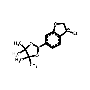 CC[C@@H]1COc2cc(B3OC(C)(C)C(C)(C)O3)ccc21